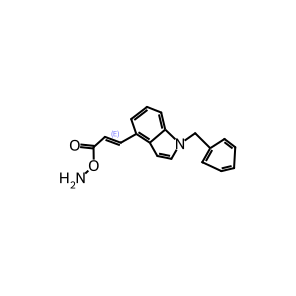 NOC(=O)/C=C/c1cccc2c1ccn2Cc1ccccc1